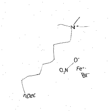 CCCCCCCCCCCCCCCC[N+](C)(C)C.O=[N+]([O-])[O-].[Br-].[Fe+]